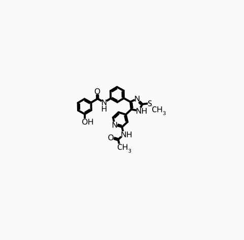 CSc1nc(-c2cccc(NC(=O)c3cccc(O)c3)c2)c(-c2ccnc(NC(C)=O)c2)[nH]1